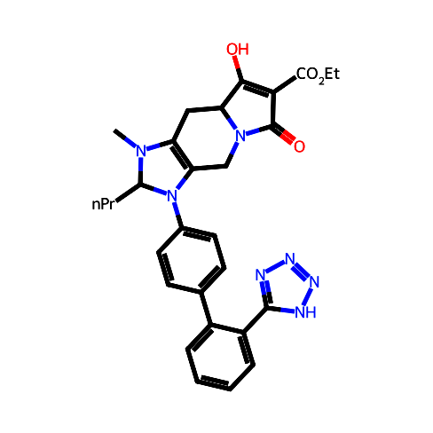 CCCC1N(C)C2=C(CN3C(=O)C(C(=O)OCC)=C(O)C3C2)N1c1ccc(-c2ccccc2-c2nnn[nH]2)cc1